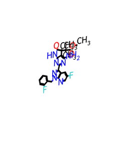 CCOC(=O)C(C)(C)C1(C)C(=O)Nc2nc(-c3nn(Cc4ccccc4F)c4ncc(F)cc34)nc(N)c21